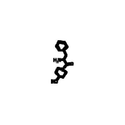 NC(Cc1ccccc1)C(=O)N1CCC(O)CC1